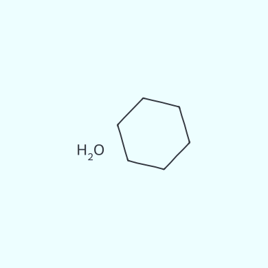 C1CCCCC1.O